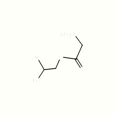 CCCCCCCCC(=O)OCC(CC)CCCC